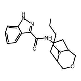 CCCCN1C2COCC1CC(NC(=O)c1n[nH]c3ccccc13)C2